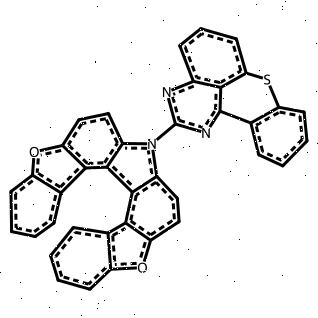 c1ccc2c(c1)Sc1cccc3nc(-n4c5ccc6oc7ccccc7c6c5c5c6c(ccc54)oc4ccccc46)nc-2c13